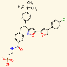 CC(C)(C)c1ccc(C(Cc2ccc(C(=O)NCCS(=O)(=O)O)cc2)c2cc(-c3cc(-c4ccc(Cl)cc4)co3)on2)cc1